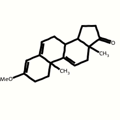 COC1=CC2=CCC3C(=CCC4(C)C(=O)CCC34)C2(C)CC1